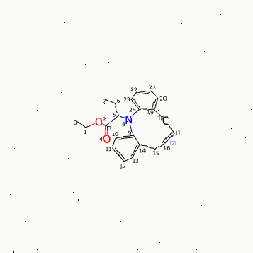 CCOC(=O)C(CC)N1c2ccccc2C/C=C\Cc2ccccc21